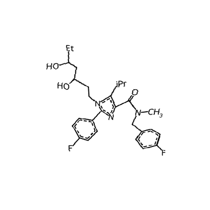 [CH2]CC(O)CC(O)CCn1c(-c2ccc(F)cc2)nc(C(=O)N(C)Cc2ccc(F)cc2)c1C(C)C